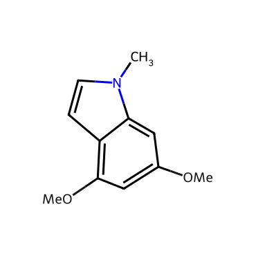 COc1cc(OC)c2ccn(C)c2c1